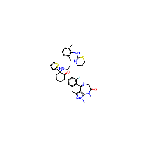 CCNC1(c2cccs2)CCCCC1=O.Cc1cccc(C)c1NC1=NCCCS1.Cc1nn(C)c2c1C(c1ccccc1F)=NCC(=O)N2C